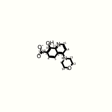 O=[N+]([O-])c1ccc2c(N3CCOCC3)ccnc2c1O